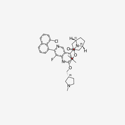 CN1CC[C@@H](COc2nc(N3C[C@H]4CC[C@@H](C3)N4C(=O)OC(C)(C)C)c3cnc(-c4cccc5cccc(Cl)c45)c(F)c3n2)C1